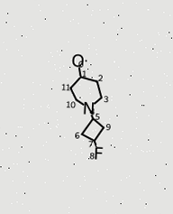 [O]C1CCN(C2CC(F)C2)CC1